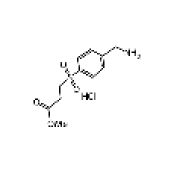 COC(=O)CCS(=O)(=O)c1ccc(CN)cc1.Cl